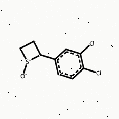 [O-][S+]1C[CH]C1c1ccc(Cl)c(Cl)c1